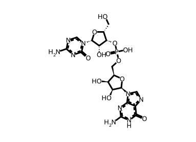 Nc1ncn([C@@H]2O[C@H](CO)[C@H](OP(=O)(O)OC[C@H]3O[C@@H](n4cnc5c(=O)[nH]c(N)nc54)[C@@H](O)[C@H]3O)[C@@H]2O)c(=O)n1